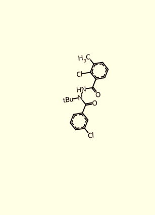 Cc1cccc(C(=O)NN(C(=O)c2cccc(Cl)c2)C(C)(C)C)c1Cl